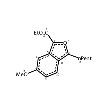 CCCCCc1oc(C(=O)OCC)c2cc(OC)ccc12